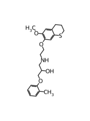 COc1cc2c(cc1OCCNCC(O)COc1ccccc1C)SCCC2